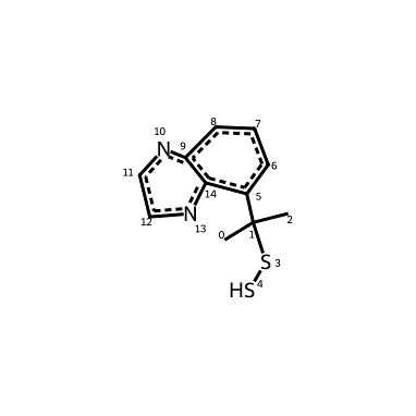 CC(C)(SS)c1cccc2nccnc12